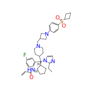 C=CC(=O)N[C@H]1CCC[C@@H]1C(c1cccc(F)c1)(C1CCN(CC2CN(c3ccc(S(=O)(=O)C4CCC4)cc3)C2)CC1)n1ccnc1CC